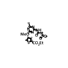 CCOC(=O)c1cccs1.COc1nc(C)nc(NC(=O)N=S(=O)=O)n1